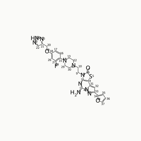 Nc1nc2c(sc(=O)n2CCN2CCN(c3ccc(OCc4cn[nH]n4)cc3F)CC2)c2cc(-c3ccco3)nn12